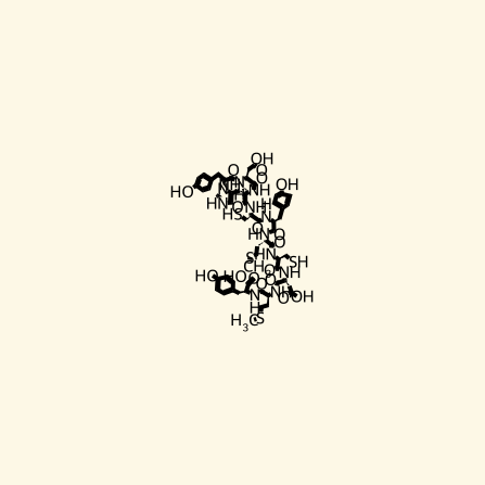 CSCC[C@H](NC(=O)[C@H](Cc1ccc(O)cc1)NC(=O)[C@H](CS)NC(=O)[C@H](Cc1c[nH]cn1)NC(=O)[C@H](CC(=O)O)NC(=O)[C@@H](N)Cc1ccc(O)cc1)C(=O)N[C@@H](CS)C(=O)N[C@H](CC(=O)O)C(=O)N[C@@H](CCSC)C(=O)N[C@@H](Cc1ccc(O)cc1)C(=O)O